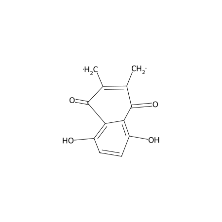 [CH2]C1=C([CH2])C(=O)c2c(O)ccc(O)c2C1=O